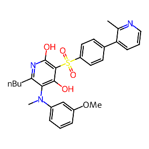 CCCCc1nc(O)c(S(=O)(=O)c2ccc(-c3cccnc3C)cc2)c(O)c1N(C)c1cccc(OC)c1